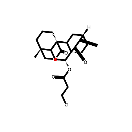 C=C1C(=O)[C@]23CC[C@H]1CC2[C@@]12CCC[C@@](C)(COC1=O)C2C[C@H]3OC(=O)CCCl